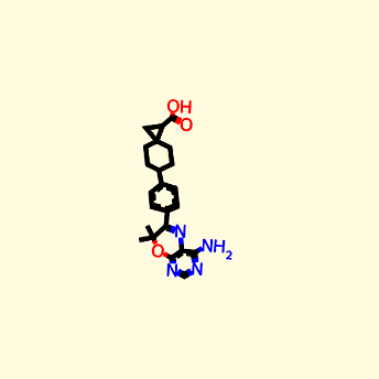 CC1(C)Oc2ncnc(N)c2N=C1c1ccc(C2CCC3(CC2)CC3C(=O)O)cc1